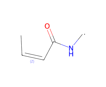 [CH2]NC(=O)/C=C\C